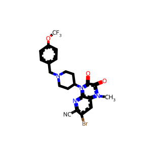 Cn1c(=O)c(=O)n(C2CCN(Cc3ccc(OC(F)(F)F)cc3)CC2)c2nc(C#N)c(Br)cc21